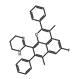 CC1=C(c2ccccc2)Oc2c(C3=NCCCN3)c(-c3ccccc3)c(C)c3cc(F)cc1c23